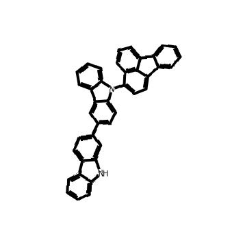 c1ccc2c(c1)-c1cccc3c(-n4c5ccccc5c5cc(-c6ccc7c(c6)[nH]c6ccccc67)ccc54)ccc-2c13